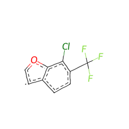 FC(F)(F)c1ccc2[c]coc2c1Cl